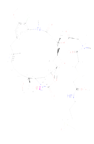 COc1cc2cc(c1Cl)N(C)C(=O)C[C@H](OC(=O)[C@H](C)N(C)C(=O)CCSCC(=O)NCCC[SH](C)(C)=O)[C@@]1(C)CC(C)(O1)[C@@H]1C[C@@](O)(NC(=O)O1)[C@H](OC)CC/C=C(\C)C2